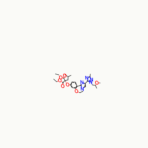 CCOC(=O)C(CC(C)C)(Oc1ccc2c(c1)OCCn1cc(-c3nc(C)nn3CC(C)OC)nc1-2)C(=O)OCC